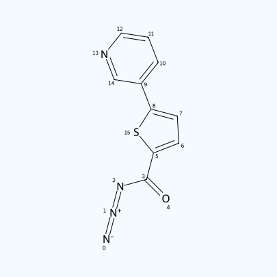 [N-]=[N+]=NC(=O)c1ccc(-c2cccnc2)s1